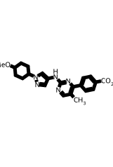 COC1CCC(n2cc(Nc3ncc(C)c(-c4ccc(C(=O)O)cc4)n3)cn2)CC1